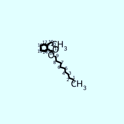 CCCCCCCCCCOC(=O)c1ccccc1CC